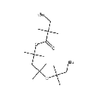 CC(C)(C)CC(C)(C)OC(C)(C)CC(C)(C)OC(=O)C(C)(C)CC(C)(C)C